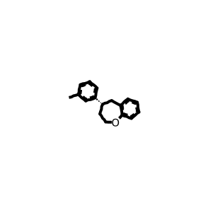 Cc1cccc([C@H]2CCOc3ccccc3C2)c1